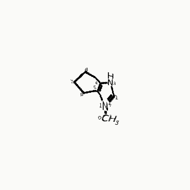 C[n+]1c[nH]c2c1CCC2